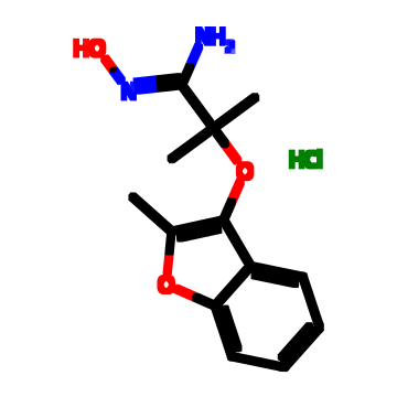 Cc1oc2ccccc2c1OC(C)(C)C(N)=NO.Cl